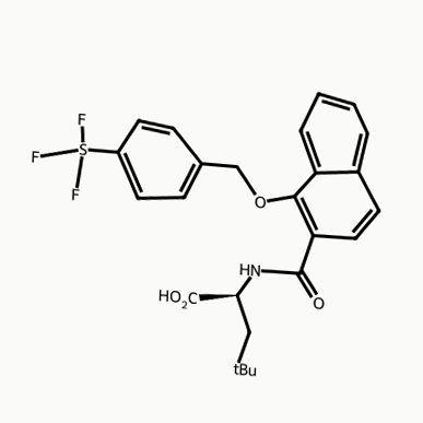 CC(C)(C)C[C@H](NC(=O)c1ccc2ccccc2c1OCc1ccc(S(F)(F)F)cc1)C(=O)O